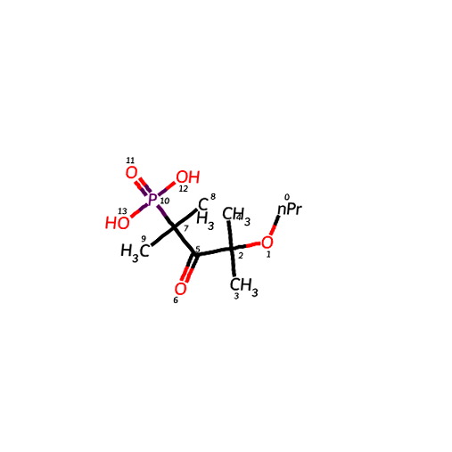 CCCOC(C)(C)C(=O)C(C)(C)P(=O)(O)O